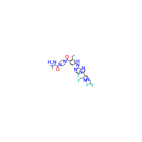 CCc1cc(Nc2nccn3c(-c4cn(CC(F)F)nc4C(F)F)cnc23)ccc1C(=O)N1CCN(C(=O)[C@H](N)C(C)C)CC1